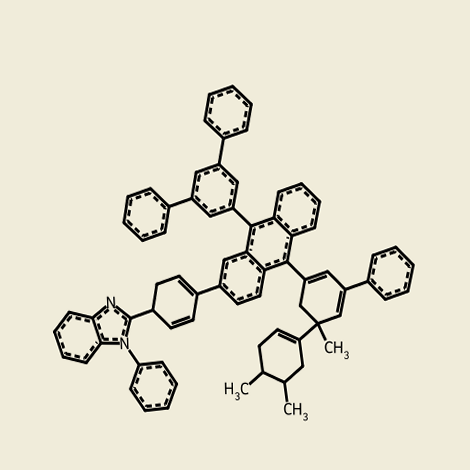 CC1CC=C(C2(C)C=C(c3ccccc3)C=C(c3c4ccccc4c(-c4cc(-c5ccccc5)cc(-c5ccccc5)c4)c4cc(C5=CCC(c6nc7ccccc7n6-c6ccccc6)C=C5)ccc34)C2)CC1C